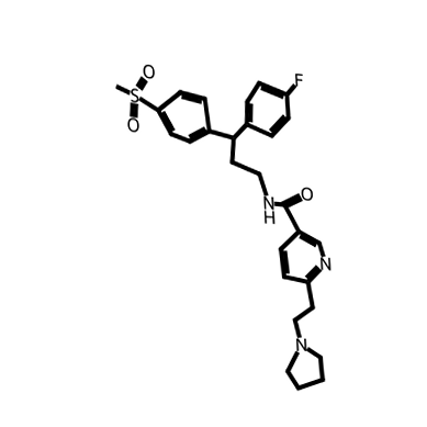 CS(=O)(=O)c1ccc(C(CCNC(=O)c2ccc(CCN3CCCC3)nc2)c2ccc(F)cc2)cc1